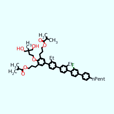 C=C(C)C(=O)OCCCc1cc(-c2ccc(-c3ccc(-c4ccc(-c5ccc(CCCCC)cc5)cc4F)c(CC)c3)cc2CC)cc(CCCOC(=O)C(=C)C)c1OCCC(C)(CO)CO